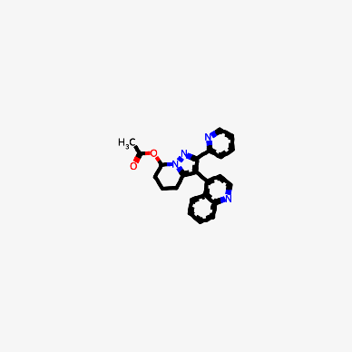 CC(=O)OC1CCCc2c(-c3ccnc4ccccc34)c(-c3ccccn3)nn21